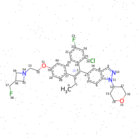 CC/C(=C(\c1ccc2c(cnn2C2CCOCC2)c1)c1ccc(F)cc1Cl)c1ccc(OCCN2CC(CF)C2)cc1